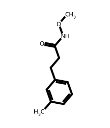 CONC(=O)CCc1cccc(C)c1